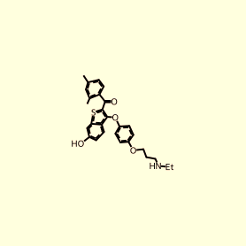 CCNCCCOc1ccc(Oc2c(C(=O)c3ccc(C)cc3C)sc3cc(O)ccc23)cc1